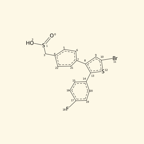 O=S(O)Cc1ccc(-c2cc(Br)sc2-c2ccc(F)cc2)cc1